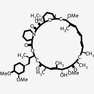 COC1CC[C@@H](C[C@@H](C)[C@@H]2CC(=O)[C@H](C)/C=C(\C)[C@@H](O)[C@@H](OC)C(=O)[C@H](C)C[C@H](C)/C=C/C=C/C=C(\C)[C@@H](OC)C[C@@H]3CC[C@@H](C)[C@@](O)(O3)C(=O)C(=O)N3CCCCC3C(=O)O2)C[C@H]1OC